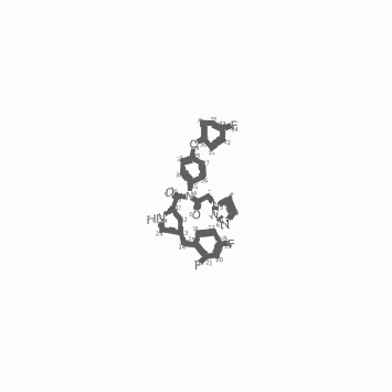 O=C(Cn1ccnn1)N(C(=O)C1CC(Cc2ccc(F)cc2F)CN1)c1ccc(Oc2ccc(F)cc2)cc1